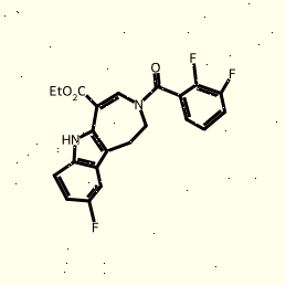 CCOC(=O)C1=CN(C(=O)c2cccc(F)c2F)CCc2c1[nH]c1ccc(F)cc21